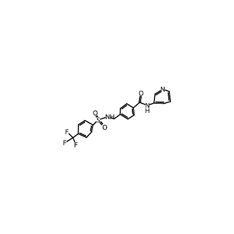 O=C(Nc1cccnc1)c1ccc(CNS(=O)(=O)c2ccc(C(F)(F)F)cc2)cc1